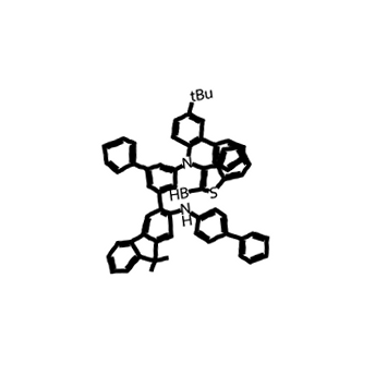 CC(C)(C)c1ccc(N2c3cc(-c4ccccc4)cc(-c4cc5c(cc4Nc4ccc(-c6ccccc6)cc4)C(C)(C)c4ccccc4-5)c3Bc3sc4ccccc4c32)c(-c2ccccc2)c1